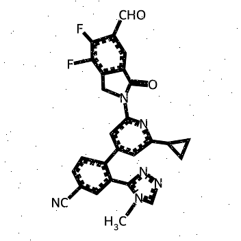 Cn1cnnc1-c1cc(C#N)ccc1-c1cc(C2CC2)nc(N2Cc3c(cc(C=O)c(F)c3F)C2=O)c1